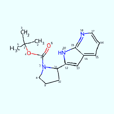 CC(C)(C)OC(=O)N1CCCC1c1cc2cccnc2[nH]1